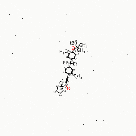 CCC(CC)(c1ccc(C#CC(=O)C2(C)CCCC2)c(C)c1)c1ccc(O[Si](C)(C)C(C)(C)C)c(C)c1